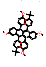 COc1ccc(-c2c3ccc(OC)cc3c(-c3ccc(C(C)(C)C)cc3)c3c(-c4ccc(OC)cc4)c4ccc(OC)cc4c(-c4ccc(C(C)(C)C)cc4)c23)cc1